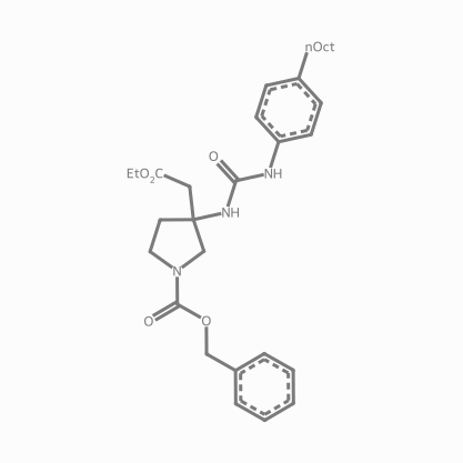 CCCCCCCCc1ccc(NC(=O)NC2(CC(=O)OCC)CCN(C(=O)OCc3ccccc3)C2)cc1